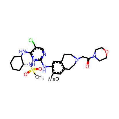 COc1cc2c(cc1Nc1ncc(Cl)c(N[C@@H]3CCCC[C@H]3NS(C)(=O)=O)n1)CCN(CC(=O)N1CCOCC1)CC2